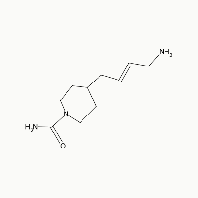 NC/C=C/CC1CCN(C(N)=O)CC1